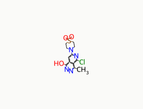 Cc1nnc(O)c2cc(N3CCS(=O)(=O)CC3)nc(Cl)c12